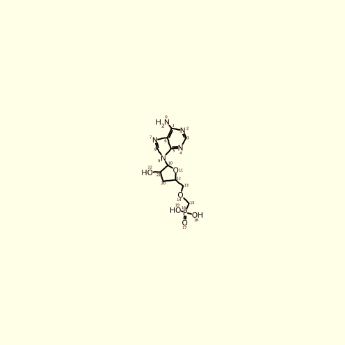 Nc1ncnc2c1ncn2C1OC(COCP(=O)(O)O)CC1O